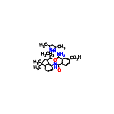 CC1CC(C)(C)c2cccc(NC(=O)c3ccc(C(=O)O)cc3C(N)=O)c21.Cc1cc(C)n(C)n1